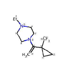 C=C(N1CCN(CC)CC1)C1(C(F)(F)F)CC1